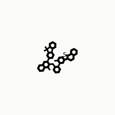 Cc1cc2sc3c4ccccc4ccc3c2cc1-c1ccccc1Cc1c(-c2ccc3c(c2)C(C)(C)c2ccccc2-3)cc2ccccc2c1C